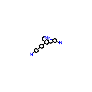 N#Cc1ccc(-c2ccc(-c3cc4cc5cc(C#N)ccc5nc4c4ncccc34)cc2)cc1